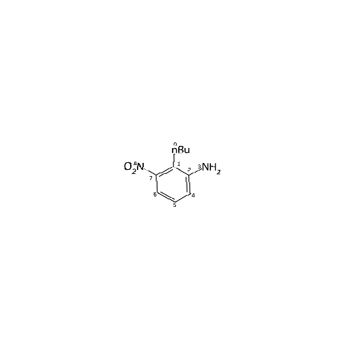 CCCCc1c(N)cccc1[N+](=O)[O-]